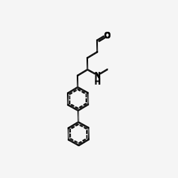 CNC(CCC=O)Cc1ccc(-c2ccccc2)cc1